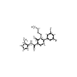 COCCn1c(-c2cc(F)cc(F)c2)ncc(C(=O)Nc2nnnn2C)c1=O